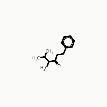 C[C](C)C(C)C(=O)CCc1ccccc1